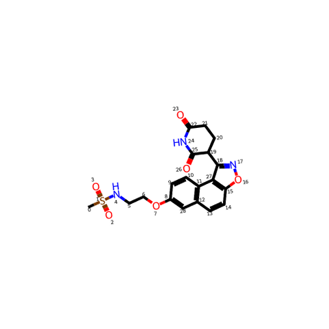 CS(=O)(=O)NCCOc1ccc2c(ccc3onc(C4CCC(=O)NC4=O)c32)c1